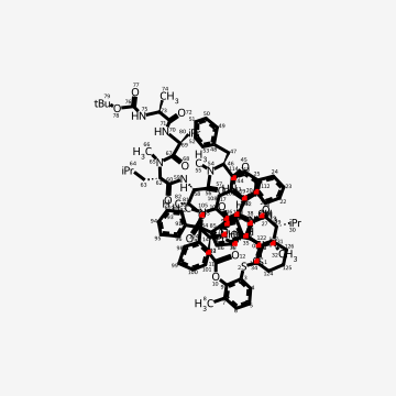 CCSSc1cccc(C)c1OC(=O)C[C@H](NC(=O)[C@H](Cc1ccccc1)NC(=O)[C@H](C(C)C)N(C)C(=O)[C@H](CC(C)C)N(C)C(=O)CNC(=O)[C@H](Cc1ccccc1)N(C)C(=O)[C@@H](NC(=O)[C@H](CC(C)C)N(C)C(=O)[C@@H](NC(=O)[C@H](C)NC(=O)OC(C)(C)C)C(C)C)[C@@H](C)OC(c1ccccc1)(c1ccccc1)c1ccccc1)C(=O)N(C)C(Cc1ccccc1)C(=O)N[C@@H](C)C(=O)N1CCCCC1